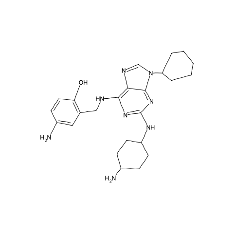 Nc1ccc(O)c(CNc2nc(NC3CCC(N)CC3)nc3c2ncn3C2CCCCC2)c1